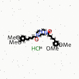 COc1ccc(/C=C/C=C/C(=O)N2CCN3CCN(C(=O)/C=C/C=C/c4ccc(OC)c(OC)c4)CC3C2)cc1OC.Cl